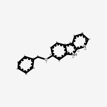 c1ccc(COc2ccc3c(c2)[nH]c2ncccc23)cc1